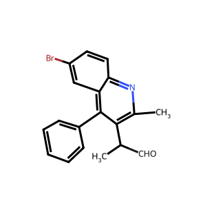 Cc1nc2ccc(Br)cc2c(-c2ccccc2)c1C(C)C=O